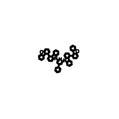 c1ccc(-c2cc(-n3c4ccccc4c4c(-c5cccc6oc7ccccc7c56)cccc43)nc(-n3c4ccccc4c4c(-c5cccc6oc7ccccc7c56)cccc43)c2)cc1